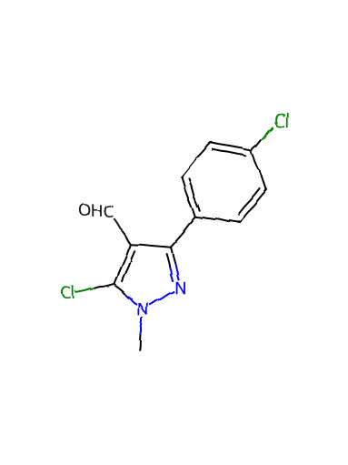 Cn1nc(-c2ccc(Cl)cc2)c(C=O)c1Cl